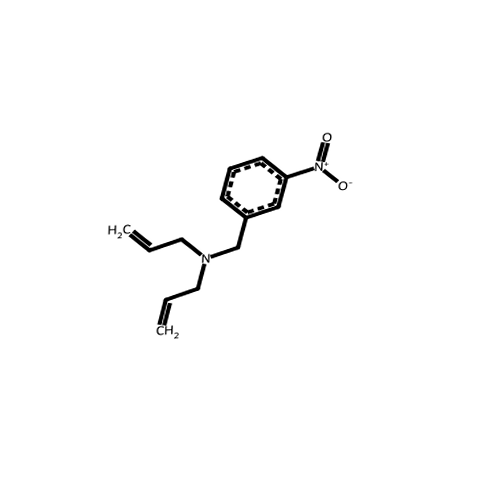 C=CCN(CC=C)Cc1cccc([N+](=O)[O-])c1